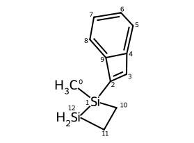 C[Si]1(C2=Cc3ccccc32)CC[SiH2]1